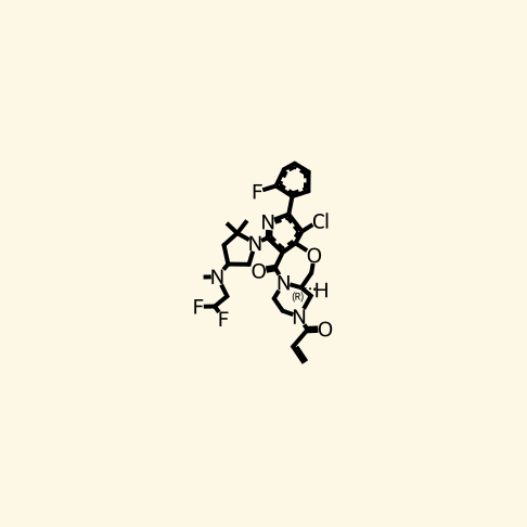 C=CC(=O)N1CCN2C(=O)c3c(N4CC(N(C)CC(F)F)CC4(C)C)nc(-c4ccccc4F)c(Cl)c3OC[C@H]2C1